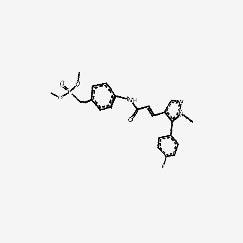 COP(=O)(Cc1ccc(NC(=O)/C=C/c2cnn(C)c2-c2ccc(F)cc2)cc1)OC